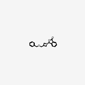 O=C1OC(N2CC(COCc3ccccc3)C2)c2ccccc21